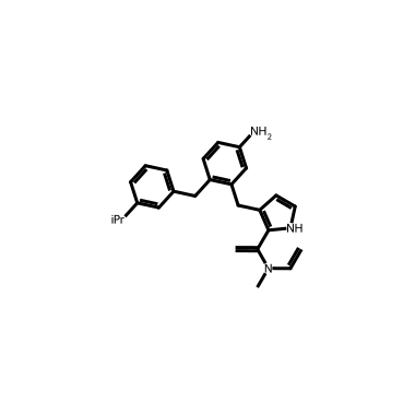 C=CN(C)C(=C)c1[nH]ccc1Cc1cc(N)ccc1Cc1cccc(C(C)C)c1